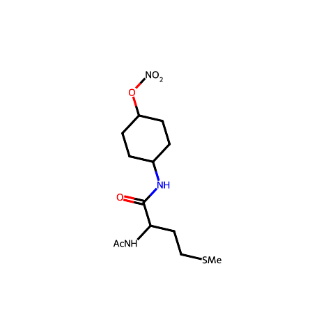 CSCCC(NC(C)=O)C(=O)NC1CCC(O[N+](=O)[O-])CC1